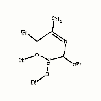 CCCC(N=C(C)CC(C)C)[SiH](OCC)OCC